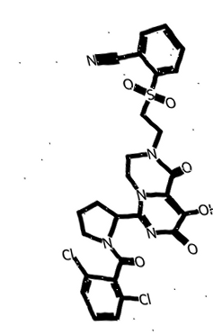 N#Cc1ccccc1S(=O)(=O)CCN1CCn2c(C3CCCN3C(=O)c3c(Cl)cccc3Cl)nc(=O)c(O)c2C1=O